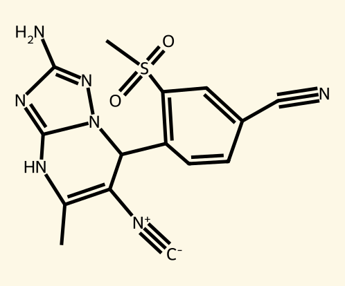 [C-]#[N+]C1=C(C)Nc2nc(N)nn2C1c1ccc(C#N)cc1S(C)(=O)=O